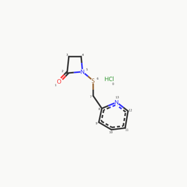 Cl.O=C1CCN1SCc1ccccn1